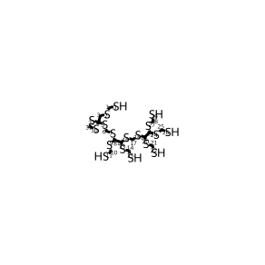 SCSCC1(SCSC(SCS)C(SCS)SCSC(SCS)C(SCS)SCS)SCS1